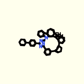 CC1(C)C2=c3c4c5ccccc5n3-c3nc(-c5ccc(C6=CCCC=C6)cc5)nc(n3)-c3cccc(c3)C3=CCCC(=C3)c3cccc(c31)C2=C=CC=4